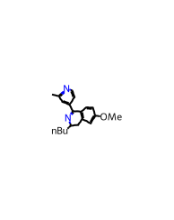 CCCCC1Cc2cc(OC)ccc2C(c2ccnc(C)c2)=N1